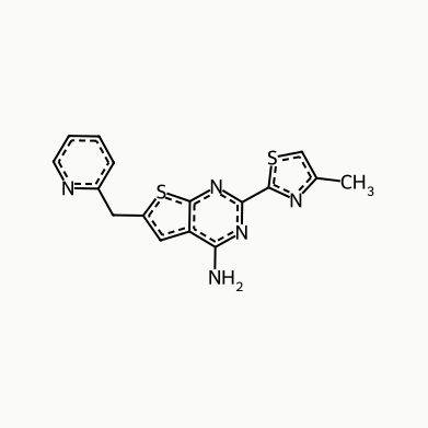 Cc1csc(-c2nc(N)c3cc(Cc4ccccn4)sc3n2)n1